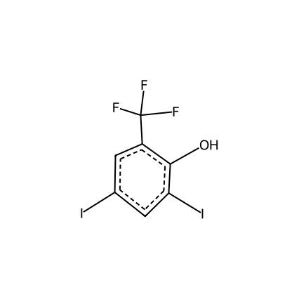 Oc1c(I)cc(I)cc1C(F)(F)F